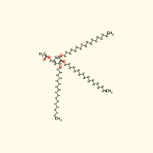 CCCCCCCCCCCCCCCCCCOc1cc(COC(C)=O)cc(OCCCCCCCCCCCCCCCCCC)c1OCCCCCCCCCCCCCCCCCC